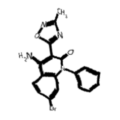 Cc1noc(-c2c(N)c3ccc(Br)cc3n(-c3ccccc3)c2=O)n1